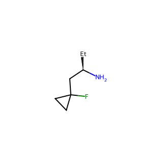 CC[C@@H](N)CC1(F)CC1